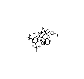 CCC1(C(F)(F)F)CC(C(=O)O)(C(N)c2cc(C(F)(F)F)cc(C(F)(F)F)c2)C2=CCC=CC2=N1